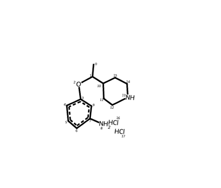 CC(Oc1cccc(N)c1)C1CCNCC1.Cl.Cl